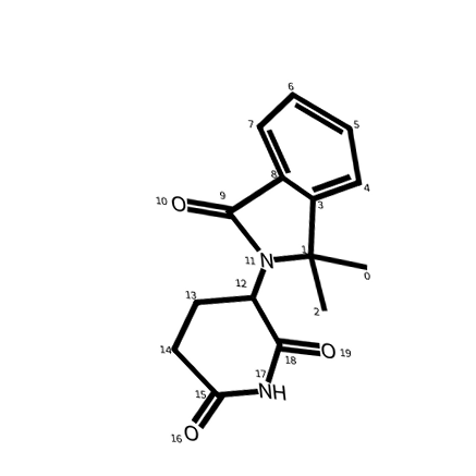 CC1(C)c2ccccc2C(=O)N1C1CCC(=O)NC1=O